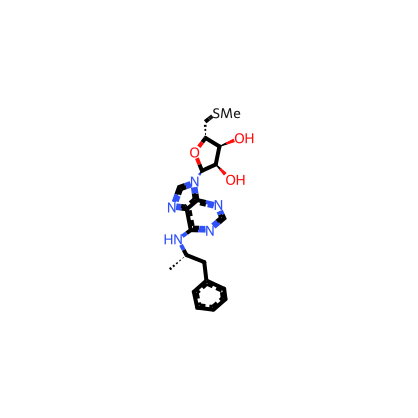 CSC[C@H]1O[C@@H](n2cnc3c(N[C@@H](C)Cc4ccccc4)ncnc32)[C@H](O)[C@@H]1O